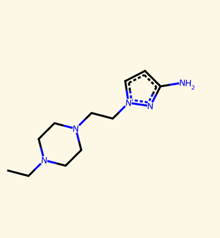 CCN1CCN(CCn2ccc(N)n2)CC1